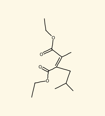 CCOC(=O)/C(C)=C(/CC(C)C)C(=O)OCC